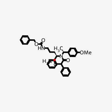 COc1ccc([C@@H](C)N(C(=O)C(c2ccccc2)c2ccccc2)[C@H](CCCNC(=O)OCc2ccccc2)C(N)=O)cc1